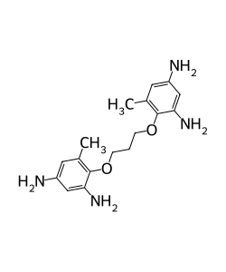 Cc1cc(N)cc(N)c1OCCCOc1c(C)cc(N)cc1N